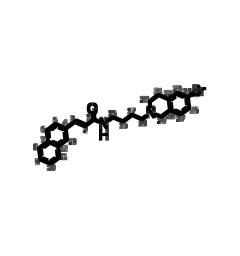 O=C(C=Cc1ccc2ccccc2c1)NCCCCN1CCc2cc(Br)ccc2C1